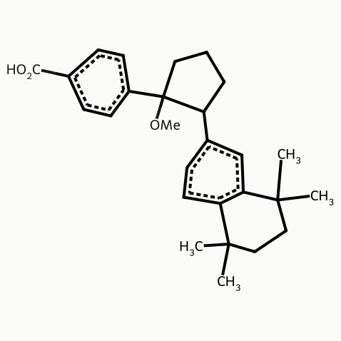 COC1(c2ccc(C(=O)O)cc2)CCCC1c1ccc2c(c1)C(C)(C)CCC2(C)C